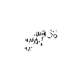 CCCC[C@@]1(C)CC[C@H]2[C@@H]3CCC4=C(CCC5(C4)OCCO5)C3=CC[C@@]21C